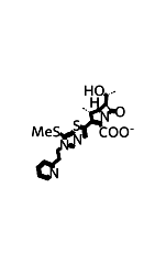 CSc1c2sc(C3=C(C(=O)[O-])N4C(=O)[C@H]([C@@H](C)O)[C@H]4[C@H]3C)c[n+]2cn1CCc1ccccn1